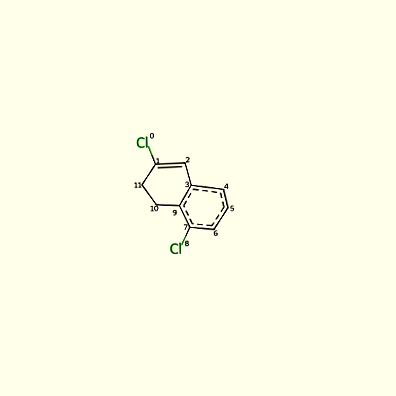 ClC1=Cc2cccc(Cl)c2CC1